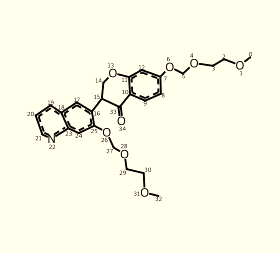 COCCOCOc1ccc2c(c1)OCC(c1cc3cccnc3cc1OCOCCOC)C2=O